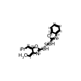 C/C=c1/nc(BSBc2nc3ccccc3o2)o/c1=C/C(C)C